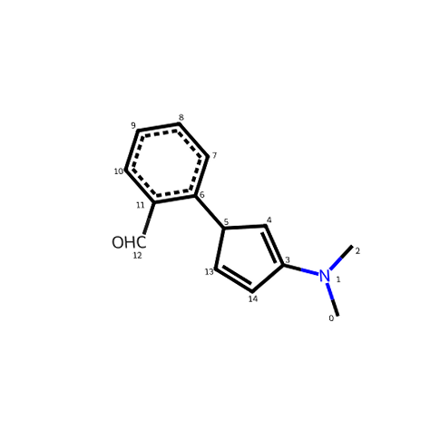 CN(C)C1=CC(c2ccccc2C=O)C=C1